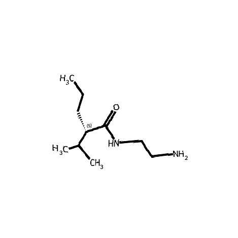 CCC[C@H](C(=O)NCCN)C(C)C